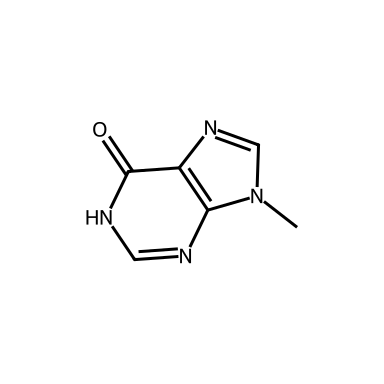 Cn1cnc2c(=O)[nH]cnc21